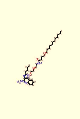 CCCCCCCCCCCCOCCCC(=O)NCCOCCOn1c(CCCC)nc2c(N)nc3ccccc3c21